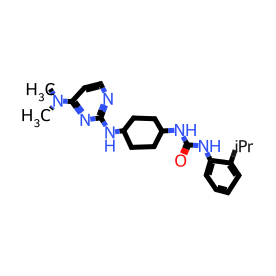 CC(C)c1ccccc1NC(=O)NC1CCC(Nc2nccc(N(C)C)n2)CC1